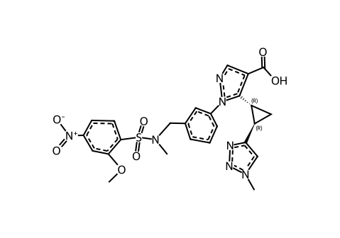 COc1cc([N+](=O)[O-])ccc1S(=O)(=O)N(C)Cc1cccc(-n2ncc(C(=O)O)c2[C@@H]2C[C@H]2c2cn(C)nn2)c1